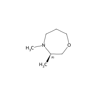 C[C@@H]1COCCCN1C